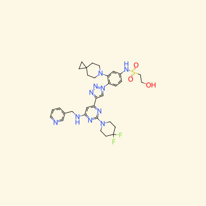 O=S(=O)(CCO)Nc1ccc(-n2cc(-c3cc(NCc4cccnc4)nc(N4CCC(F)(F)CC4)n3)nn2)c(N2CCC3(CC2)CC3)c1